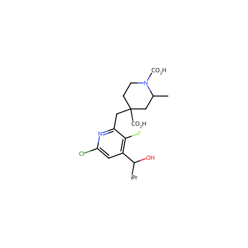 CC(C)C(O)c1cc(Cl)nc(CC2(C(=O)O)CCN(C(=O)O)C(C)C2)c1F